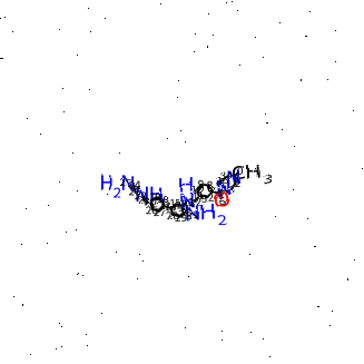 CN1CCN(C(=O)c2cccc(CNc3cc(-c4ccc(CNCCN)cc4)ccc3N)c2)CC1